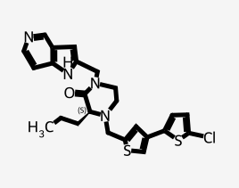 CCC[C@H]1C(=O)N(Cc2cc3cnccc3[nH]2)CCN1Cc1cc(-c2ccc(Cl)s2)cs1